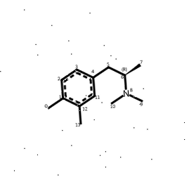 Cc1ccc(C[C@@H](C)N(C)C)cc1C